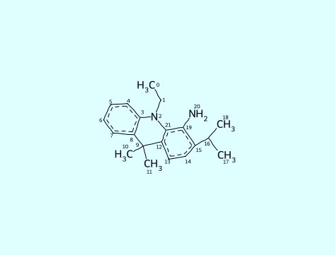 CCN1c2ccccc2C(C)(C)c2ccc(C(C)C)c(N)c21